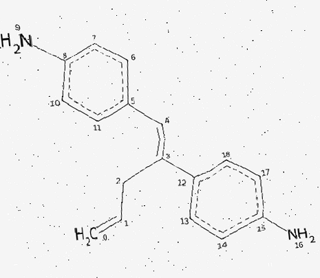 C=CC/C(=C\c1ccc(N)cc1)c1ccc(N)cc1